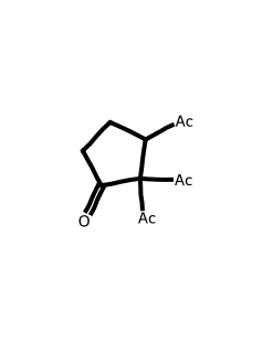 CC(=O)C1CCC(=O)C1(C(C)=O)C(C)=O